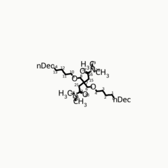 CCCCCCCCCCCCCCOCC(COCCCCCCCCCCCCCC)(CC(=O)N(C)C)CC(=O)N(C)C